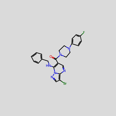 O=C(c1cnc2c(Br)cnn2c1NCc1ccccc1)N1CCN(c2ccc(F)cc2)CC1